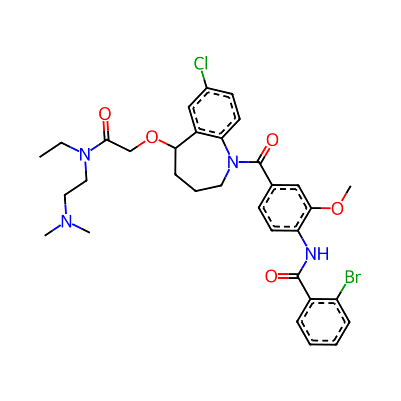 CCN(CCN(C)C)C(=O)COC1CCCN(C(=O)c2ccc(NC(=O)c3ccccc3Br)c(OC)c2)c2ccc(Cl)cc21